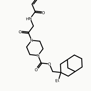 C=CC(=O)NCC(=O)N1CCN(C(=O)OCC2(CC)CC3CCCC(C3)C2)CC1